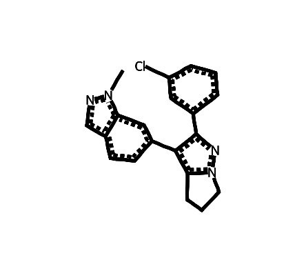 Cn1ncc2ccc(-c3c(-c4cccc(Cl)c4)nn4c3CCC4)cc21